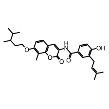 CC(C)=CCc1cc(C(=O)Nc2cc3ccc(OCCC(C)C(C)C)c(C)c3oc2=O)ccc1O